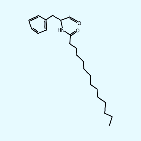 CCCCCCCCCCCCCC(=O)NC([C]=O)Cc1ccccc1